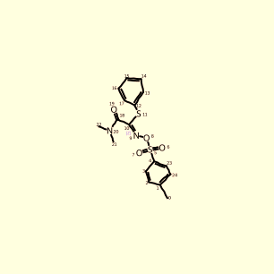 Cc1ccc(S(=O)(=O)O/N=C(\Sc2ccccc2)C(=O)N(C)C)cc1